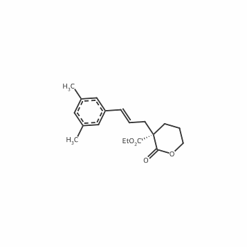 CCOC(=O)[C@]1(C/C=C/c2cc(C)cc(C)c2)CCCOC1=O